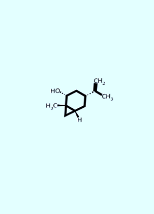 C=C(C)[C@@H]1C[C@@H]2C[C@]2(C)[C@H](O)C1